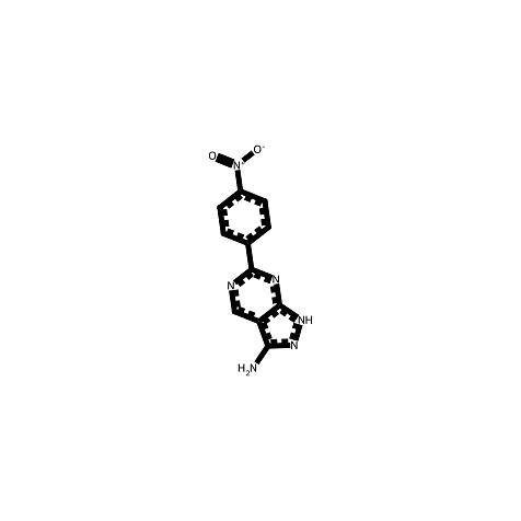 Nc1n[nH]c2nc(-c3ccc([N+](=O)[O-])cc3)ncc12